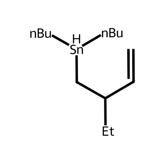 C=CC(CC)[CH2][SnH]([CH2]CCC)[CH2]CCC